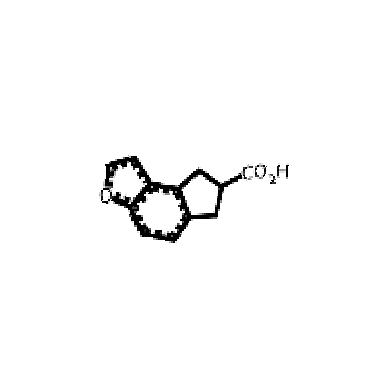 O=C(O)C1Cc2ccc3occc3c2C1